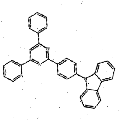 c1ccc(-c2cc(-c3ccccn3)nc(-c3ccc(-n4c5ccccc5c5ccccc54)cc3)n2)cc1